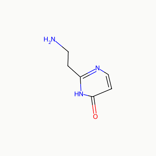 NCCc1nccc(=O)[nH]1